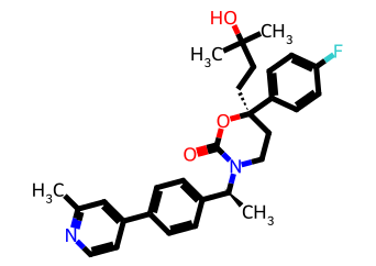 Cc1cc(-c2ccc([C@H](C)N3CC[C@](CCC(C)(C)O)(c4ccc(F)cc4)OC3=O)cc2)ccn1